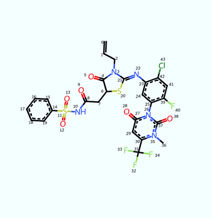 C=CCN1C(=O)C(CC(=O)NS(=O)(=O)c2ccccc2)S/C1=N\c1cc(-n2c(=O)cc(C(F)(F)F)n(C)c2=O)c(F)cc1Cl